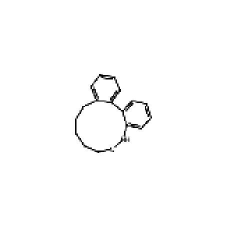 c1ccc2c(c1)CCCCCONc1ccccc1-2